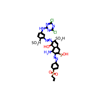 C=CCS(=O)(=O)c1ccc(/N=N/c2c(SO)cc3cc(S(=O)(=O)O)c(/N=N/c4cc(Nc5nc(Cl)nc(Cl)n5)ccc4S(=O)(=O)O)c(O)c3c2N)cc1